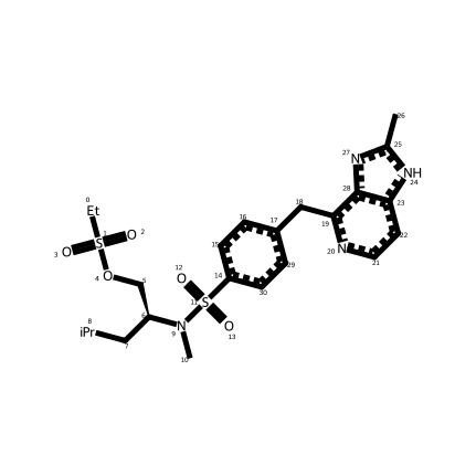 CCS(=O)(=O)OC[C@H](CC(C)C)N(C)S(=O)(=O)c1ccc(Cc2nccc3[nH]c(C)nc23)cc1